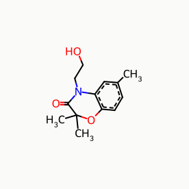 Cc1ccc2c(c1)N(CCO)C(=O)C(C)(C)O2